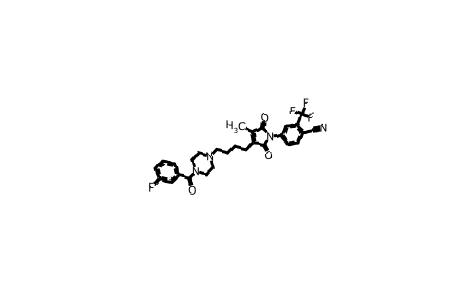 CC1=C(CCCCN2CCN(C(=O)c3cccc(F)c3)CC2)C(=O)N(c2ccc(C#N)c(C(F)(F)F)c2)C1=O